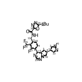 Cn1cc(-c2cc3c(-c4ccc(CNC(=O)c5nnc(C(C)(C)C)o5)c(C(F)F)c4F)ncnn3c2)cn1